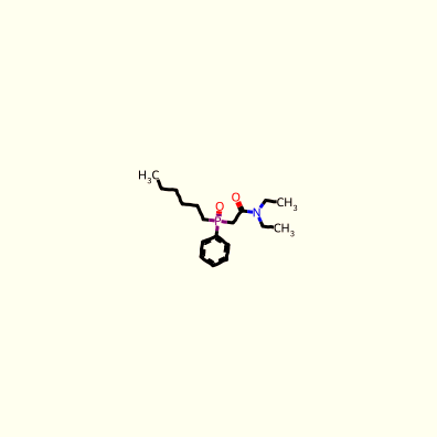 CCCCCCP(=O)(CC(=O)N(CC)CC)c1ccccc1